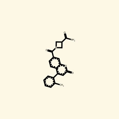 Cc1ccccc1-c1cc(=O)oc2cc(C(=O)N3CC(C(N)=O)C3)ccc12